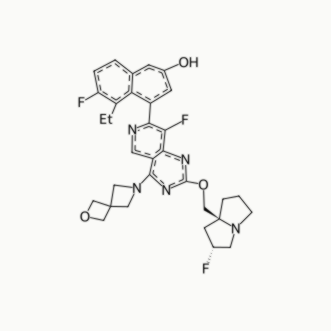 CCc1c(F)ccc2cc(O)cc(-c3ncc4c(N5CC6(COC6)C5)nc(OC[C@@]56CCCN5C[C@H](F)C6)nc4c3F)c12